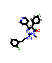 Cn1c(NCCc2ccccc2F)nc(-c2ccncc2)c(-c2ccc(F)cc2)c1=O